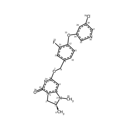 C[C@H]1Cn2c(cc(OCc3ccc(Oc4cncc(Cl)c4)c(F)c3)nc2=O)N1C